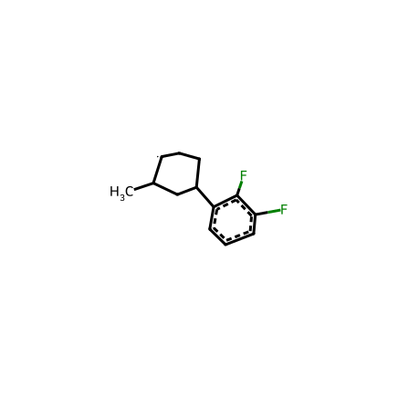 CC1[CH]CCC(c2cccc(F)c2F)C1